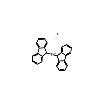 [F-].[F-].c1ccc2c(c1)-c1ccccc1[CH]2[Ti+2][CH]1c2ccccc2-c2ccccc21